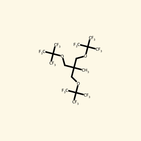 CC(COC(C(F)(F)F)(C(F)(F)F)C(F)(F)F)(COC(C(F)(F)F)(C(F)(F)F)C(F)(F)F)COC(C(F)(F)F)(C(F)(F)F)C(F)(F)F